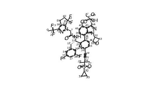 CC(F)(F)c1nn(CC(=O)N[C@@H](Cc2cc(F)cc(F)c2)c2nc(C#CC(C)(C)S(=O)(=O)C3CC3)ccc2-c2ccc(Cl)c3c(NS(C)(=O)=O)nn(C4COC4)c23)c2c1CCC2(F)F